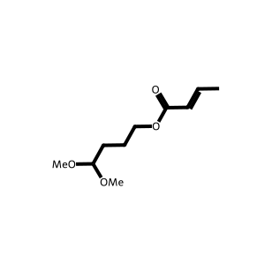 CC=CC(=O)OCCCC(OC)OC